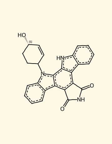 O=C1NC(=O)c2c1c1c3ccccc3[nH]c1c1c2c2ccccc2n1C1C=C[C@@H](O)CC1